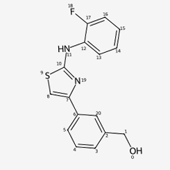 OCc1cccc(-c2csc(Nc3ccccc3F)n2)c1